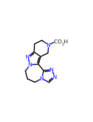 O=C(O)N1CCc2nn3c(c2C1)-c1nncn1CCC3